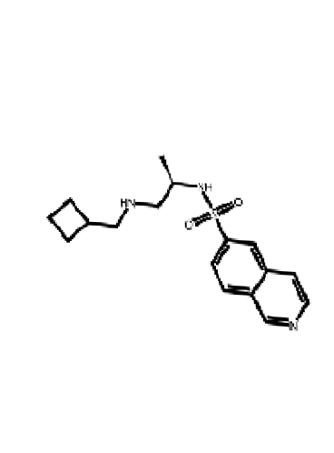 C[C@H](CNCC1CCC1)NS(=O)(=O)c1ccc2cnccc2c1